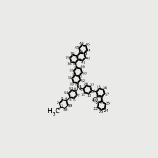 CC1C=CC(c2ccc(N(c3ccc(-c4cccc5c4oc4ccccc45)cc3)c3ccc4cc(-c5cccc6c5ccc5ccccc56)ccc4c3)cc2)=CC1